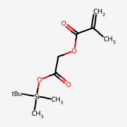 C=C(C)C(=O)OCC(=O)O[Si](C)(C)C(C)(C)C